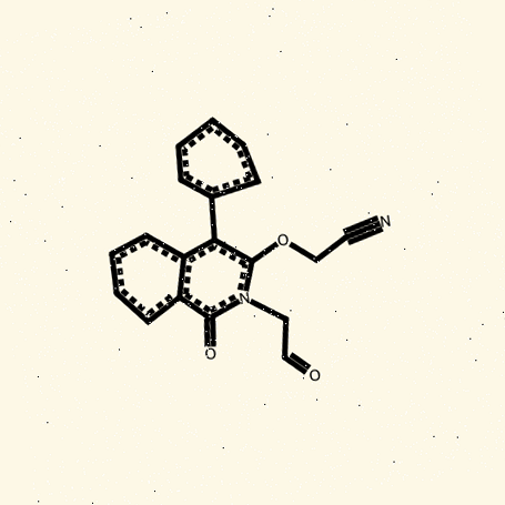 N#CCOc1c(-c2ccccc2)c2ccccc2c(=O)n1CC=O